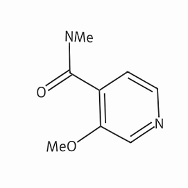 CNC(=O)c1ccncc1OC